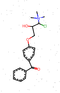 C[N+](C)(C)C(Cl)C(O)COc1ccc(C(=O)c2ccccc2)cc1